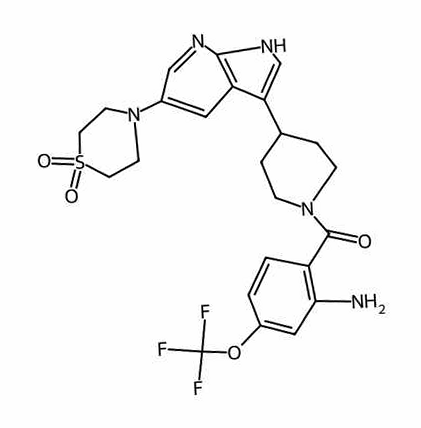 Nc1cc(OC(F)(F)F)ccc1C(=O)N1CCC(c2c[nH]c3ncc(N4CCS(=O)(=O)CC4)cc23)CC1